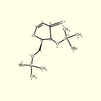 CC(C)(C)[Si](C)(C)OC[C@H]1OC=CC(=O)C1O[Si](C)(C)C(C)(C)C